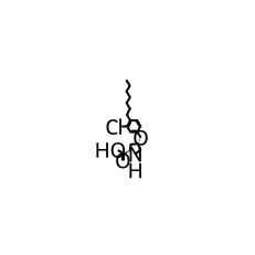 CCCCCCCc1ccc(O[C@@H]2CN[C@@H](C(=O)O)C2)cc1Cl